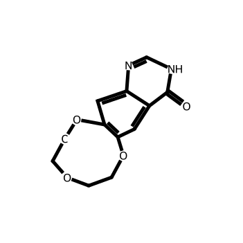 O=c1[nH]cnc2cc3c(cc12)OCCOCCO3